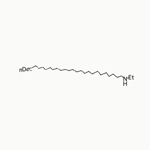 CCCCCCCCCCCCCCCCCCCCCCCCCCCCCCCCCNCC